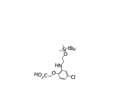 CC(C)(C)[Si](C)(C)OCCNc1cc(Cl)ccc1OCC(=O)O